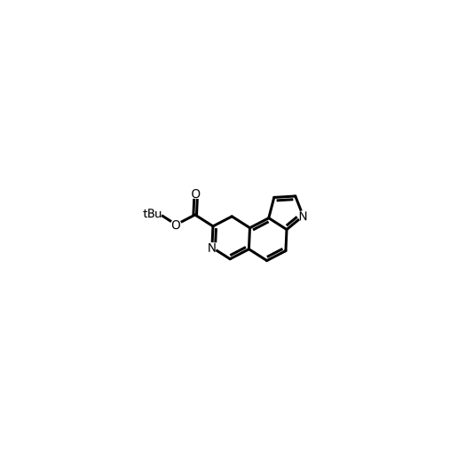 CC(C)(C)OC(=O)C1=NC=c2ccc3c(c2C1)C=CN=3